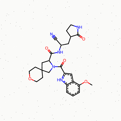 COc1cccc2[nH]c(C(=O)N3CC4(CCOCC4)CC3C(=O)NC(C#N)CC3CCNC3=O)cc12